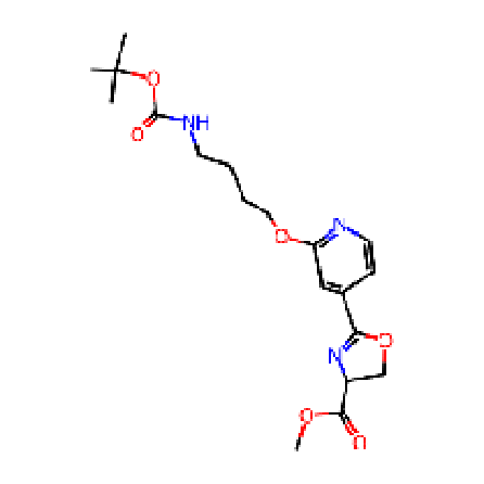 COC(=O)C1COC(c2ccnc(OCCCCNC(=O)OC(C)(C)C)c2)=N1